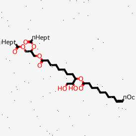 CCCCCCCC/C=C\CCCCCCCC(=O)OC(CCCCCCCC(=O)OCC(COC(=O)CCCCCCC)OC(=O)CCCCCCC)C(O)CO